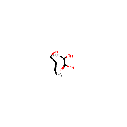 CC(O)C(=O)O.CCCCO